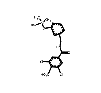 CC(C)(C)[Si](C)(C)Oc1cccc(CNC(=O)c2cc(Cl)c(C(=O)O)c(Cl)c2)c1